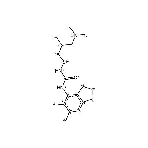 Cc1cc2c(c(NC(=O)NSCC(C)CN(C)C)c1C)CCC2